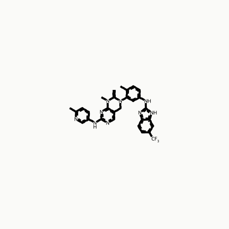 C=C1N(C)c2nc(Nc3ccc(C)nc3)ncc2CN1c1cc(Nc2nc3ccc(C(F)(F)F)cc3[nH]2)ccc1C